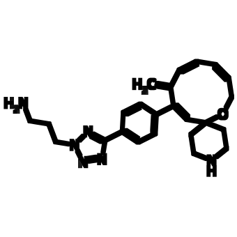 C=C1/C=C\C=C/COC2(/C=C\1c1ccc(-c3nnn(CCCN)n3)cc1)CCNCC2